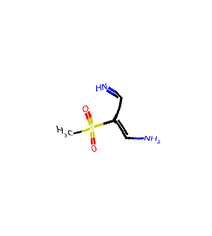 CS(=O)(=O)/C(C=N)=C/N